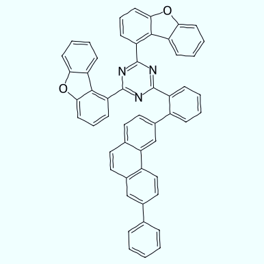 c1ccc(-c2ccc3c(ccc4ccc(-c5ccccc5-c5nc(-c6cccc7oc8ccccc8c67)nc(-c6cccc7oc8ccccc8c67)n5)cc43)c2)cc1